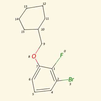 Fc1c(Br)cccc1OCC1CCCCC1